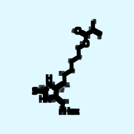 C=C(C)C(=O)OCCCCC/C=c1\[nH]c(=S)[nH]c1=CCCCCCC